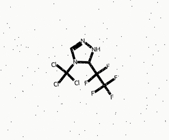 FC(F)(F)C(F)(F)C1NN=CN1C(Cl)(Cl)Cl